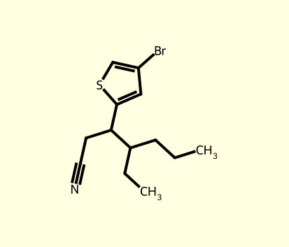 CCCC(CC)C(CC#N)c1cc(Br)cs1